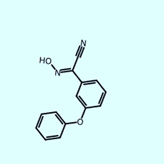 N#CC(=NO)c1cccc(Oc2ccccc2)c1